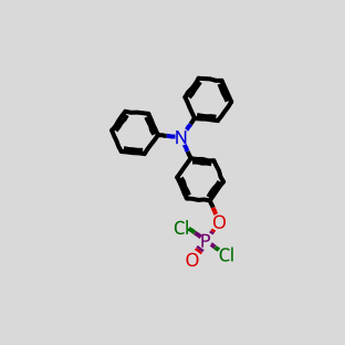 O=P(Cl)(Cl)Oc1ccc(N(c2ccccc2)c2ccccc2)cc1